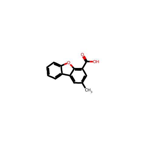 Cc1cc(C(=O)O)c2oc3ccccc3c2c1